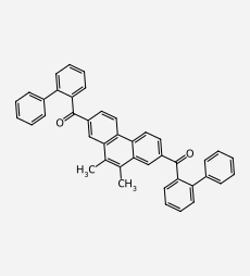 Cc1c(C)c2cc(C(=O)c3ccccc3-c3ccccc3)ccc2c2ccc(C(=O)c3ccccc3-c3ccccc3)cc12